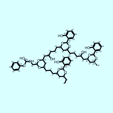 CCC1CC(CCCC2CC(CC(O)CCCC3CC(CCCC(O)CC4C[C@H](C)OC(c5ccccc5O)O4)OC(c4ccccc4O)O3)OC(CNC(O)Oc3ccccc3)O2)OC(c2ccccc2O)O1